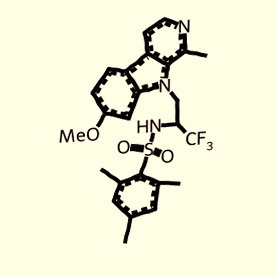 COc1ccc2c3ccnc(C)c3n(CC(NS(=O)(=O)c3c(C)cc(C)cc3C)C(F)(F)F)c2c1